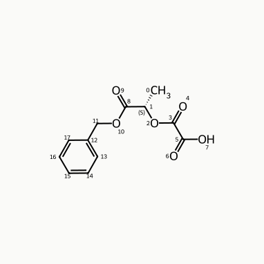 C[C@H](OC(=O)C(=O)O)C(=O)OCc1ccccc1